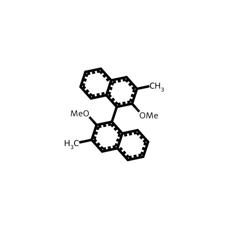 COc1c(C)cc2ccccc2c1-c1c(OC)c(C)cc2ccccc12